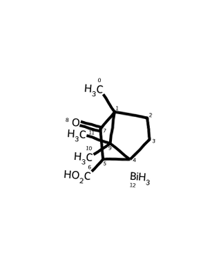 CC12CCC(C(C(=O)O)C1=O)C2(C)C.[BiH3]